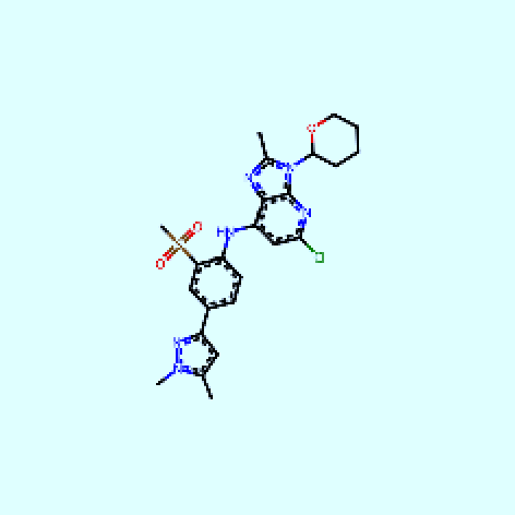 Cc1cc(-c2ccc(Nc3cc(Cl)nc4c3nc(C)n4C3CCCCO3)c(S(C)(=O)=O)c2)nn1C